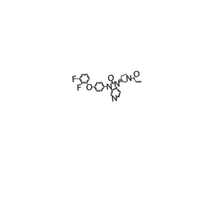 C=CC(=O)N1CC[C@@H](n2c(=O)n(-c3ccc(Oc4cccc(F)c4F)cc3)c3cnccc32)C1